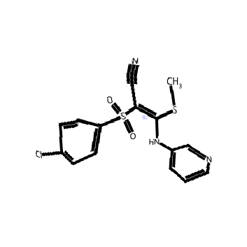 CS/C(Nc1cccnc1)=C(\C#N)S(=O)(=O)c1ccc(Cl)cc1